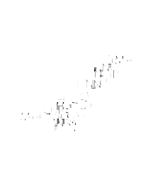 COC(=O)N[C@H](C(=O)N1CCC[C@H]1c1ncc(-c2ccc3c(c2)Oc2ccc(-c4cnc([C@@H]5CCCN5C(=O)[C@@H](NC(=O)OC)C(C)C)[nH]4)cc2C3(C)C)[nH]1)C(C)C